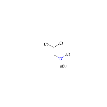 CCCCN(CC)CC(CC)CC